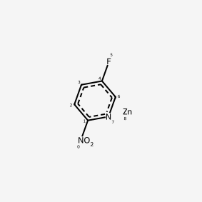 O=[N+]([O-])c1ccc(F)[c]n1.[Zn]